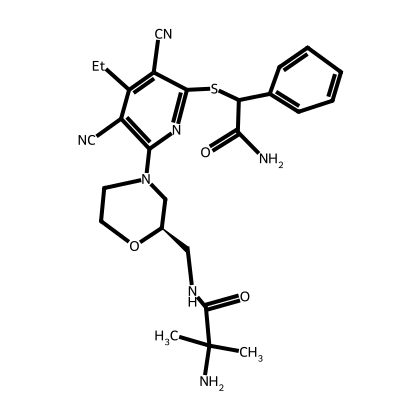 CCc1c(C#N)c(SC(C(N)=O)c2ccccc2)nc(N2CCO[C@H](CNC(=O)C(C)(C)N)C2)c1C#N